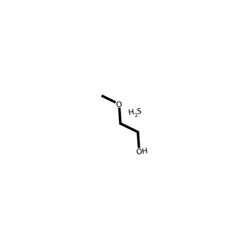 COCCO.S